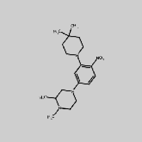 CC1CN(c2ccc([N+](=O)[O-])c(N3CCC(C)(C)CC3)c2)CCN1C